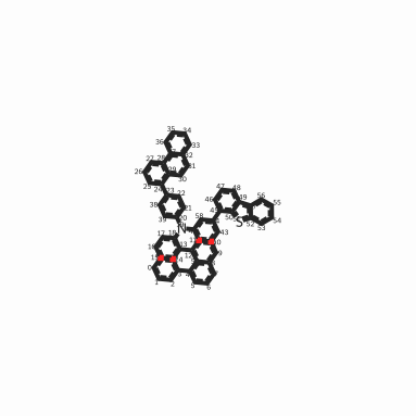 c1ccc(-c2cccc3cccc(-c4ccccc4N(c4ccc(-c5cccc6c5ccc5ccccc56)cc4)c4cccc(-c5cccc6c5sc5ccccc56)c4)c23)cc1